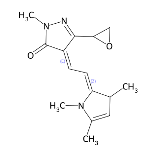 CC1=CC(C)/C(=C/C=C2/C(=O)N(C)N=C2C2CO2)N1C